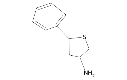 NC1CSC(c2ccccc2)C1